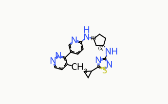 Cc1ccnnc1-c1ccc(N[C@H]2CC[C@H](Nc3nsc(C4CC4)n3)C2)nc1